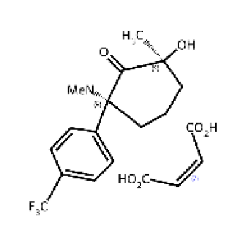 CN[C@@]1(c2ccc(C(F)(F)F)cc2)CCC[C@](C)(O)C1=O.O=C(O)/C=C\C(=O)O